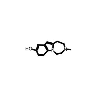 CN1CCc2cc3cc(O)ccc3n2CC1